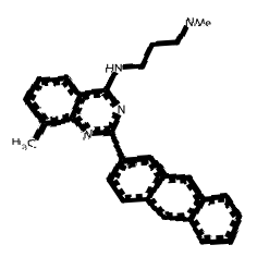 CNCCCNc1nc(-c2ccc3cc4ccccc4cc3c2)nc2c(C)cccc12